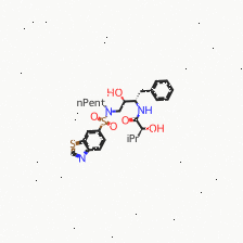 CCCCCN(C[C@@H](O)[C@H](Cc1ccccc1)NC(=O)[C@@H](O)C(C)C)S(=O)(=O)c1ccc2ncsc2c1